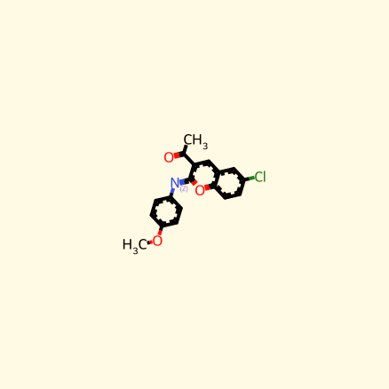 COc1ccc(/N=c2\oc3ccc(Cl)cc3cc2C(C)=O)cc1